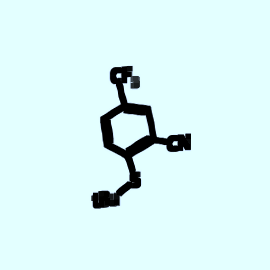 CC(C)(C)Sc1ccc(C(F)(F)F)cc1C#N